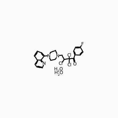 O.O.O=C(c1ccc(F)cc1)C(Cl)(Cl)C(Cl)CN1CCN(c2cccc3cccnc23)CC1